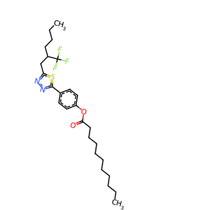 CCCCCCCCCCC(=O)Oc1ccc(-c2nnc(CC(CCCC)C(F)(F)F)s2)cc1